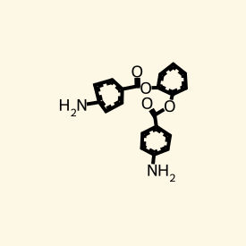 Nc1ccc(C(=O)Oc2ccccc2OC(=O)c2ccc(N)cc2)cc1